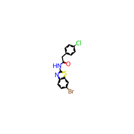 O=C(Cc1ccc(Cl)cc1)Nc1nc2ccc(Br)cc2s1